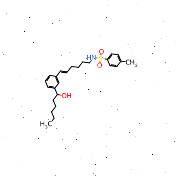 CCCCCC(O)c1cccc(C=CCCCCNS(=O)(=O)c2ccc(C)cc2)c1